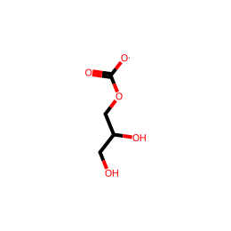 [O]C(=O)OCC(O)CO